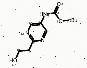 CC(C)(C)OC(=O)Nc1cnc(CCO)nc1